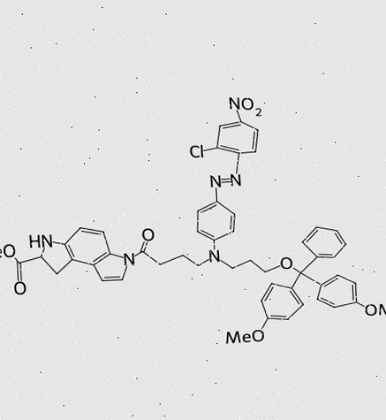 COC(=O)C1Cc2c(ccc3c2ccn3C(=O)CCCN(CCCOC(c2ccccc2)(c2ccc(OC)cc2)c2ccc(OC)cc2)c2ccc(N=Nc3ccc([N+](=O)[O-])cc3Cl)cc2)N1